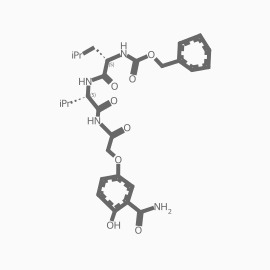 CC(C)C[C@H](NC(=O)OCc1ccccc1)C(=O)N[C@H](C(=O)NC(=O)COc1ccc(O)c(C(N)=O)c1)C(C)C